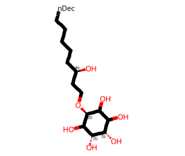 CCCCCCCCCCCCCCC[C@@H](O)CCO[C@H]1C(O)C(O)[C@H](O)[C@H](O)C1O